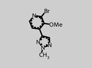 COc1c(-c2cnn(C)n2)ccnc1Br